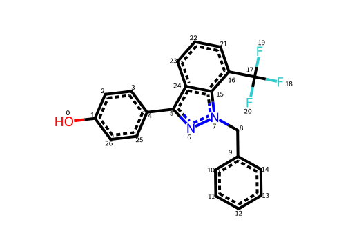 Oc1ccc(-c2nn(Cc3ccccc3)c3c(C(F)(F)F)cccc23)cc1